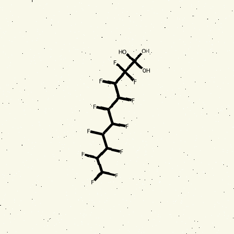 OC(O)(O)C(F)(F)C(F)C(F)C(F)C(F)C(F)C(F)C(F)C(F)F